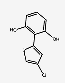 Oc1cccc(O)c1-c1cc(Cl)cs1